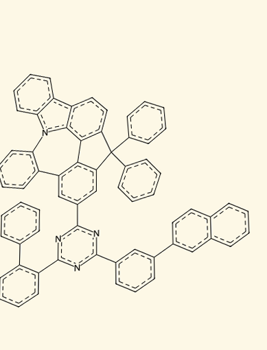 c1ccc(-c2ccccc2-c2nc(-c3cccc(-c4ccc5ccccc5c4)c3)nc(-c3cc4c5c(c3)C(c3ccccc3)(c3ccccc3)c3ccc6c7ccccc7n(c6c3-5)-c3ccccc3-4)n2)cc1